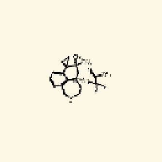 CC1(C)C[C@@H]2CCNCc3cccc(c32)C12CC2.O=C(O)C(F)(F)F